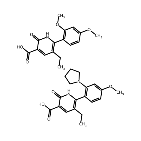 CCc1cc(C(=O)O)c(=O)[nH]c1-c1ccc(OC)cc1N1CCCC1.CCc1cc(C(=O)O)c(=O)[nH]c1-c1ccc(OC)cc1OC